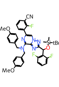 COc1ccc(CN(Cc2ccc(OC)cc2)c2nc(-c3cccc(C#N)c3F)cn3nc(C(O[Si](C)(C)C(C)(C)C)c4c(F)cccc4F)nc23)cc1